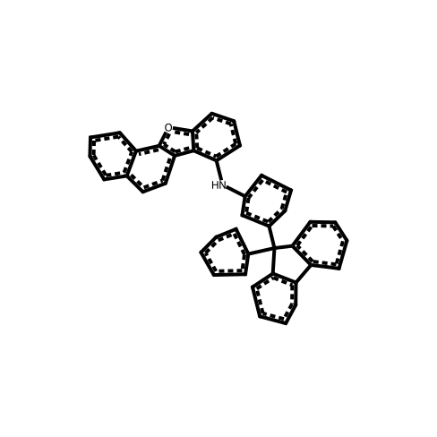 c1ccc(C2(c3cccc(Nc4cccc5oc6c7ccccc7ccc6c45)c3)c3ccccc3-c3ccccc32)cc1